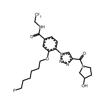 O=C(NCC(F)(F)F)c1ccc(-n2cc(C(=O)N3CCC(O)C3)nn2)c(OCCCCCCF)c1